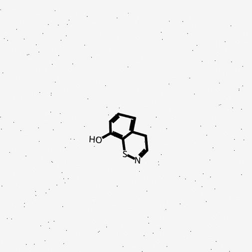 Oc1cccc2c1SN=CC2